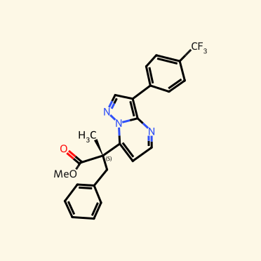 COC(=O)[C@@](C)(Cc1ccccc1)c1ccnc2c(-c3ccc(C(F)(F)F)cc3)cnn12